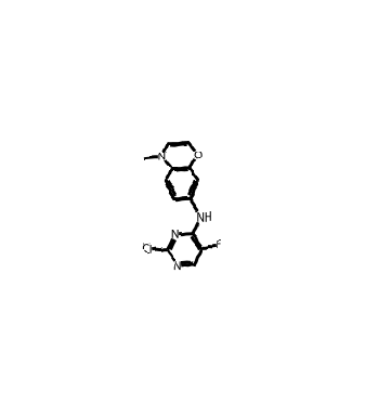 CN1C=COc2cc(Nc3nc(Cl)ncc3F)ccc21